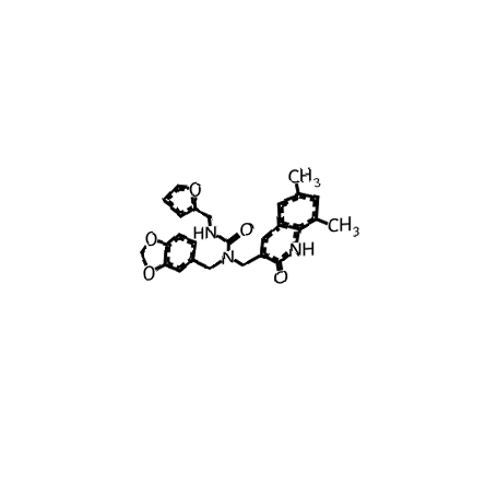 Cc1cc(C)c2[nH]c(=O)c(CN(Cc3ccc4c(c3)OCO4)C(=O)NCc3ccco3)cc2c1